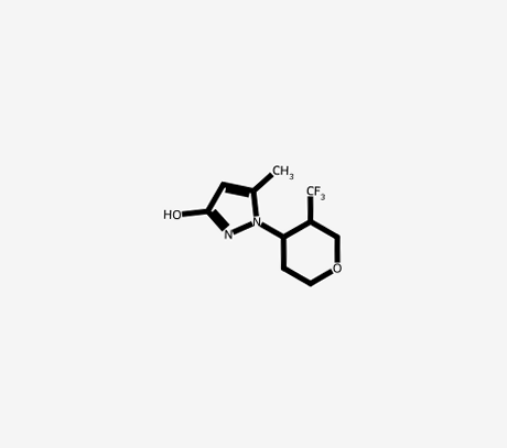 Cc1cc(O)nn1C1CCOCC1C(F)(F)F